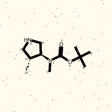 CN(C(=O)OC(C)(C)C)[C@@H]1CNC[C@H]1F